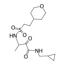 CC(NS(=O)(=O)CCC1CCOCC1)C(=O)C(=O)NCC1CC1